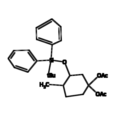 CC(=O)OC1(OC(C)=O)CCC(C)C(O[Si](c2ccccc2)(c2ccccc2)C(C)(C)C)C1